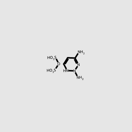 NC1=NN(N)NC=C1.O=S(=O)(O)OS(=O)(=O)O